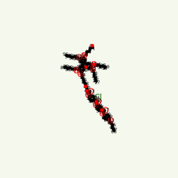 CCCCCCOc1cc2c3cc(OCCCCCC)c(OCCCCCC)cc3c3cc(OCCCCCCCCC(=O)Oc4ccc(C(=O)Oc5ccc(C(=O)Oc6ccc(OCCCCC)cc6)cc5)c(Cl)c4)c(OCCCCCC)cc3c2cc1OCCCCCC